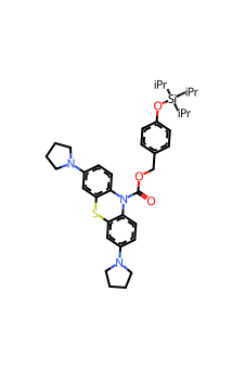 CC(C)[Si](Oc1ccc(COC(=O)N2c3ccc(N4CCCC4)cc3Sc3cc(N4CCCC4)ccc32)cc1)(C(C)C)C(C)C